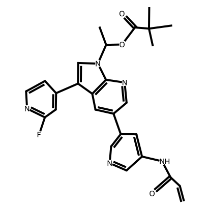 C=CC(=O)Nc1cncc(-c2cnc3c(c2)c(-c2ccnc(F)c2)cn3C(C)OC(=O)C(C)(C)C)c1